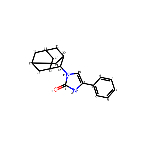 O=C1[N]C(c2ccccc2)=CN1C1C2CC3CC(C2)CC1C3